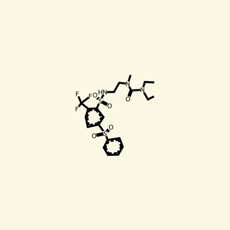 CCN(CC)C(=O)N(C)CCNS(=O)(=O)c1cc(S(=O)(=O)c2ccccc2)ccc1C(F)(F)F